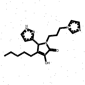 CCCCCC1=C(O)C(=O)N(CCCn2ccnc2)C1c1cc[nH]n1